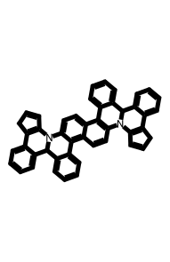 C1=CC2=C(C1)c1ccccc1C1c3ccccc3-c3c(ccc4c5c(ccc34)N3C4=C(CC=C4)c4ccccc4C3c3ccccc3-5)N21